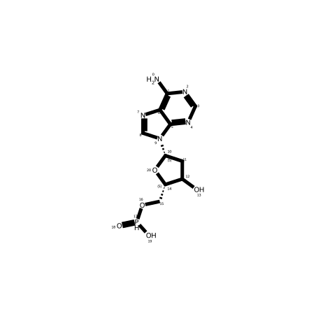 Nc1ncnc2c1ncn2[C@@H]1CC(O)[C@H](CO[PH](=O)O)O1